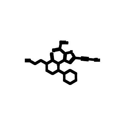 COC(=O)c1sc(C#CC(C)(C)C)cc1N1C(=O)C(CCO)CCC1C1CCCCC1